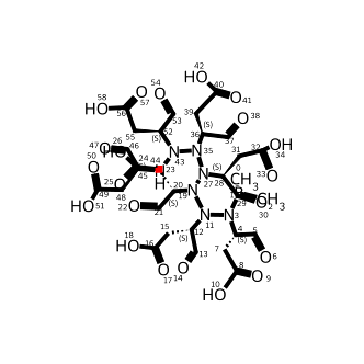 CB(C)N([C@H](C=O)CC(=O)O)N([C@H](C=O)CC(=O)O)N([C@H](C=O)CC(=O)O)N([C@H](C=O)CC(=O)O)N([C@H](C=O)CC(=O)O)N(N[C@H](C=O)CC(=O)O)[C@H](C=O)CC(=O)O